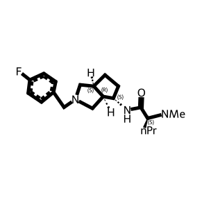 CCC[C@H](NC)C(=O)N[C@H]1CC[C@@H]2CN(Cc3ccc(F)cc3)C[C@@H]21